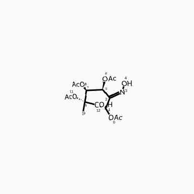 CC(=O)OCC(=NO)[C@H](OC(C)=O)[C@H](OC(C)=O)[C@@](C)(OC(C)=O)C(=O)O